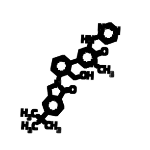 Cn1cc(-c2cccc(N3Cc4cc(C(C)(C)C)ccc4C3=O)c2CO)cc(Nc2ccncn2)c1=O